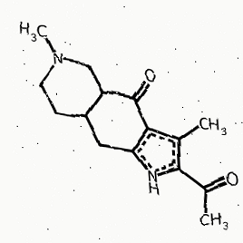 CC(=O)c1[nH]c2c(c1C)C(=O)C1CN(C)CCC1C2